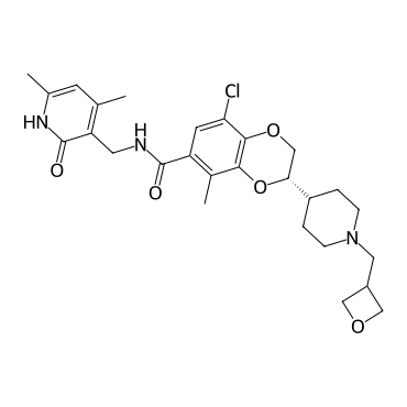 Cc1cc(C)c(CNC(=O)c2cc(Cl)c3c(c2C)O[C@@H](C2CCN(CC4COC4)CC2)CO3)c(=O)[nH]1